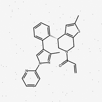 C=CC(=O)N1Cc2sc(C)cc2[C@@H](c2ccccc2-c2cn(-c3ccccn3)nc2C)C1